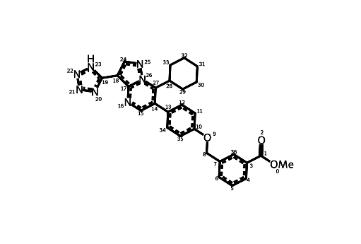 COC(=O)c1cccc(COc2ccc(-c3cnc4c(-c5nnn[nH]5)cnn4c3C3CCCCC3)cc2)c1